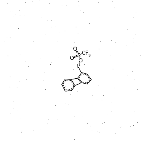 O=S(=O)(O[I+]c1cccc2c1-c1ccccc1-2)C(F)(F)F